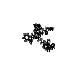 Cn1cc(C[C@H](NC(=O)CCCC[C@@H]2SC[C@H]3NC(=O)N[C@@H]23)C(=O)N[C@@H](CCC(=O)C=[N+]=[N-])C(=O)OC(C)(C)C)c2ccccc21